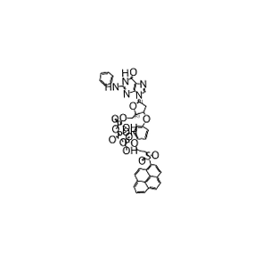 O=c1[nH]c(Nc2ccccc2)nc2c1ncn2[C@H]1CC(Oc2ccccc2)[C@@H](COP(=O)(O)OP(=O)(O)OP(=O)(O)OCCS(=O)(=O)c2ccc3ccc4cccc5ccc2c3c45)O1